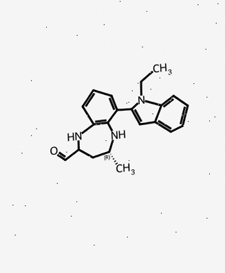 CCn1c(-c2cccc3c2N[C@H](C)CC(C=O)N3)cc2ccccc21